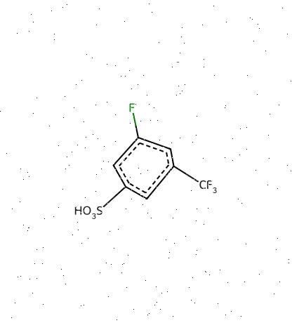 O=S(=O)(O)c1cc(F)cc(C(F)(F)F)c1